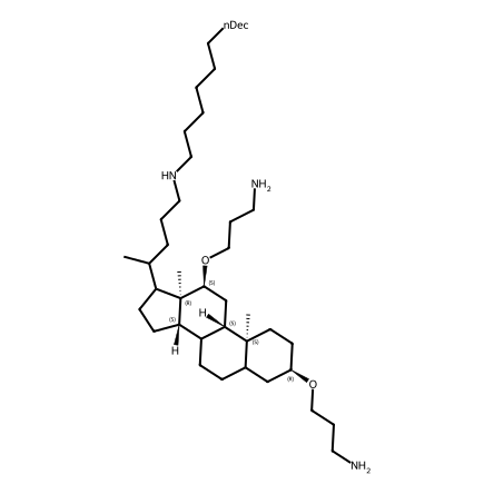 CCCCCCCCCCCCCCCCNCCCC(C)C1CC[C@H]2C3CCC4C[C@H](OCCCN)CC[C@]4(C)[C@H]3C[C@H](OCCCN)[C@]12C